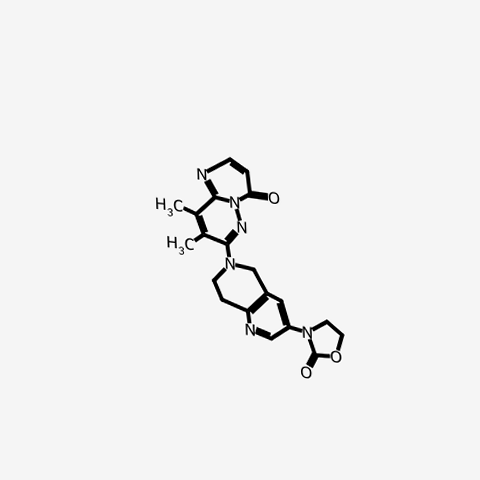 Cc1c(N2CCc3ncc(N4CCOC4=O)cc3C2)nn2c(=O)ccnc2c1C